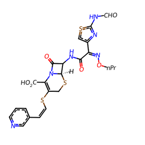 CCCO/N=C(\C(=O)NC1C(=O)N2C(C(=O)O)=C(S/C=C\c3cccnc3)CS[C@H]12)c1csc(NC=O)n1